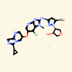 Cn1c(Nc2cc(C(C)(C)C)n([C@H]3COC[C@H]3O)n2)nc2ncc(Oc3cnc4cnc(C5CC5)n4c3)c(Cl)c21